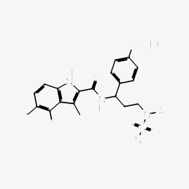 CCOC(=O)c1ccc(C(CCN(C(C)=O)S(N)(=O)=O)NC(=O)c2[nH]c3ccc(Cl)c(Cl)c3c2C)cc1